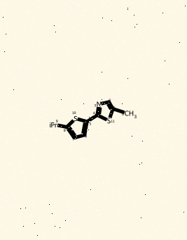 Cc1cnc(-c2ccc(C(C)C)s2)s1